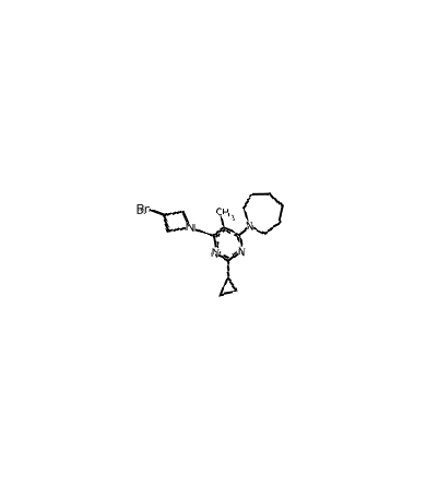 Cc1c(N2CCCCCC2)nc(C2CC2)nc1N1CC(Br)C1